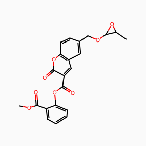 COC(=O)c1ccccc1OC(=O)c1cc2cc(COC3OC3C)ccc2oc1=O